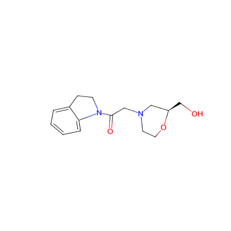 O=C(CN1CCO[C@H](CO)C1)N1CCc2ccccc21